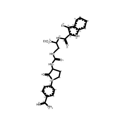 CCOC(=O)C(CNC(=O)NC1CCN(c2ccc(C(=N)N)cc2)C1=O)NC(=O)c1[nH]c2ccccc2c1CC